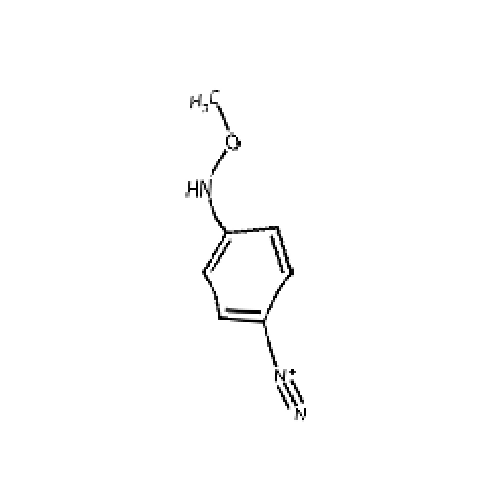 CONc1ccc([N+]#N)cc1